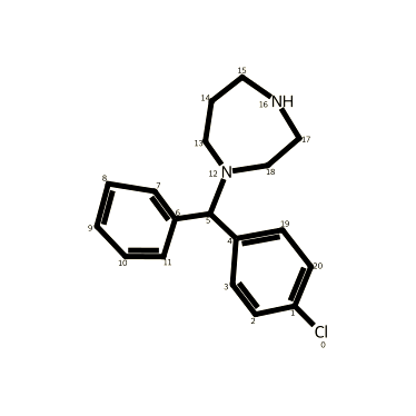 Clc1ccc(C(c2ccccc2)N2CCCNCC2)cc1